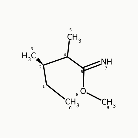 CC[C@@H](C)C(C)C(=N)OC